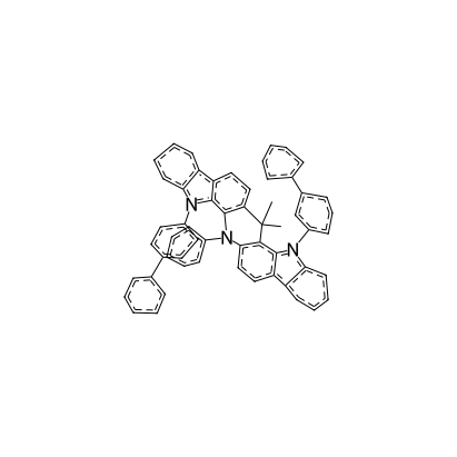 CC1(C)c2ccc3c4ccccc4n(-c4ccc(-c5ccccc5)cc4)c3c2N(c2ccccc2)c2ccc3c4ccccc4n(-c4cccc(-c5ccccc5)c4)c3c21